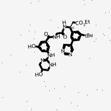 CCOC(=O)C[C@H](NC(=O)CNC(=O)c1cc(O)cc(NC2=NCC(O)CN2)c1)c1cc(-c2cncnc2)cc(C(C)(C)C)c1